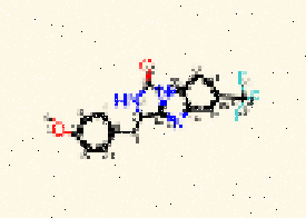 COc1ccc(CC2NC(=O)n3c2nc2cc(C(F)(F)F)ccc23)cc1